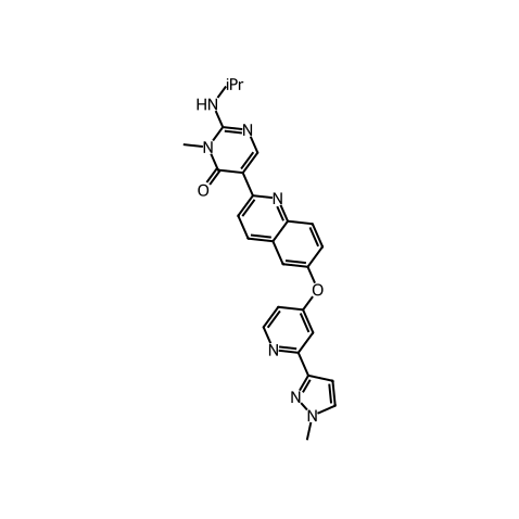 CC(C)Nc1ncc(-c2ccc3cc(Oc4ccnc(-c5ccn(C)n5)c4)ccc3n2)c(=O)n1C